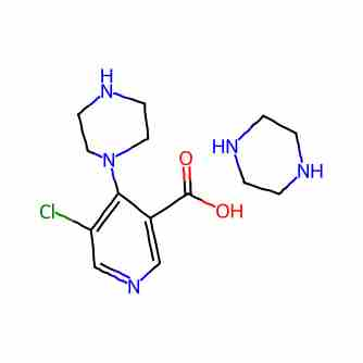 C1CNCCN1.O=C(O)c1cncc(Cl)c1N1CCNCC1